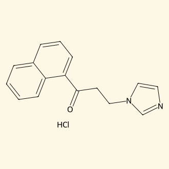 Cl.O=C(CCn1ccnc1)c1cccc2ccccc12